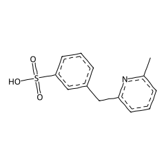 Cc1cccc(Cc2cccc(S(=O)(=O)O)c2)n1